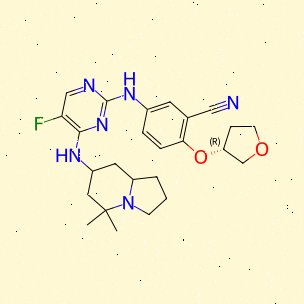 CC1(C)CC(Nc2nc(Nc3ccc(O[C@@H]4CCOC4)c(C#N)c3)ncc2F)CC2CCCN21